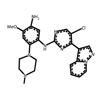 COc1cc(N2CCN(C)CC2)c(Nc2ncc(Cl)c(-c3cnn4ccccc34)n2)cc1N